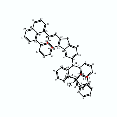 CC1(C)c2ccccc2-c2cccc(N(c3ccc4c(c3)-c3ccc(-c5cccc6cccc(-c7ccccc7)c56)cc3C4)c3ccccc3-c3ccccc3)c21